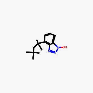 CC(C)(C)CC(C)(C)c1cccc2c1nnn2O